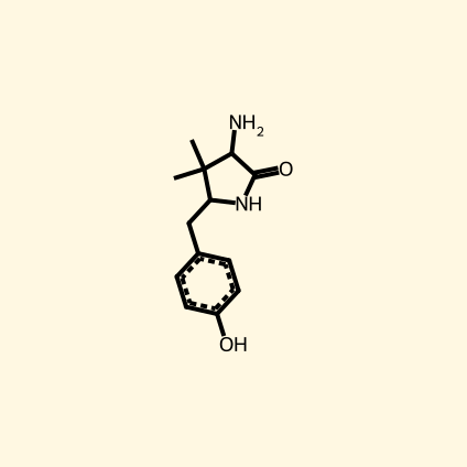 CC1(C)C(Cc2ccc(O)cc2)NC(=O)C1N